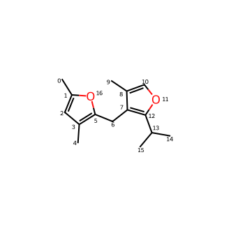 Cc1cc(C)c(Cc2c(C)coc2C(C)C)o1